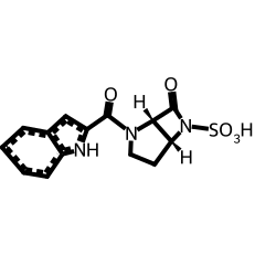 O=C(c1cc2ccccc2[nH]1)N1CC[C@@H]2[C@H]1C(=O)N2S(=O)(=O)O